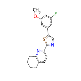 COc1cc(F)cc(-c2cnc(-c3ccc4c(n3)CCCC4)s2)c1